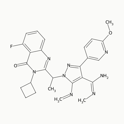 C=Nc1c(/C(N)=N\C)c(-c2ccc(OC)nc2)nn1C(C)c1nc2cccc(F)c2c(=O)n1C1CCC1